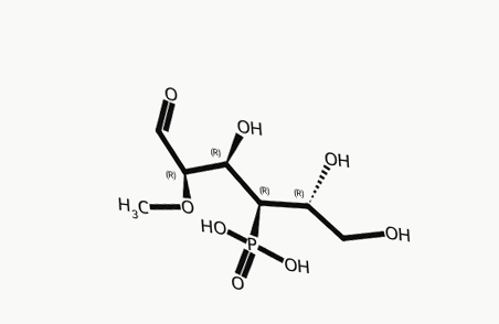 CO[C@@H](C=O)[C@@H](O)[C@@H]([C@H](O)CO)P(=O)(O)O